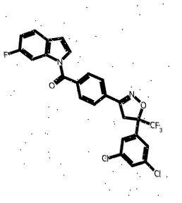 O=C(c1ccc(C2=NOC(c3cc(Cl)cc(Cl)c3)(C(F)(F)F)C2)cc1)n1ccc2ccc(F)cc21